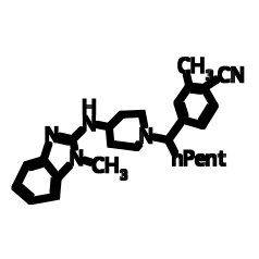 CCCCCC(c1ccc(C#N)c(C)c1)N1CCC(Nc2nc3ccccc3n2C)CC1